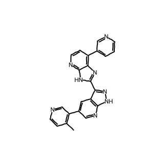 Cc1ccncc1-c1cnc2[nH]nc(-c3nc4c(-c5cccnc5)ccnc4[nH]3)c2c1